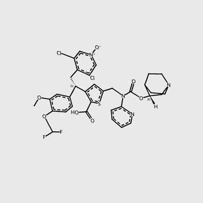 COc1cc([C@H](Cc2c(Cl)c[n+]([O-])cc2Cl)c2cc(CN(C(=O)O[C@H]3CN4CCC3CC4)c3ccccn3)sc2C(=O)O)ccc1OC(F)F